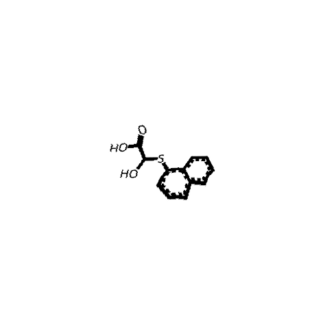 O=C(O)C(O)Sc1cccc2ccccc12